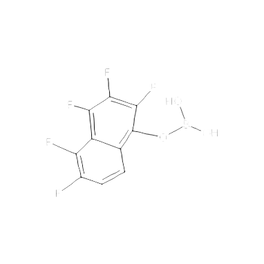 OB(O)Oc1c(F)c(F)c(F)c2c(F)c(F)ccc12